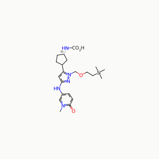 Cn1cc(Nc2cc(C3CC[C@H](NC(=O)O)C3)n(COCC[Si](C)(C)C)n2)ccc1=O